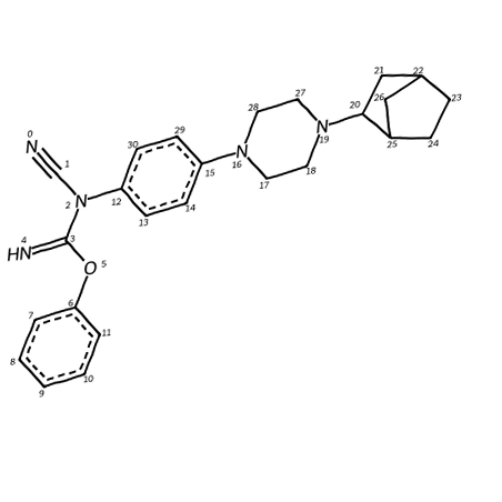 N#CN(C(=N)Oc1ccccc1)c1ccc(N2CCN(C3CC4CCC3C4)CC2)cc1